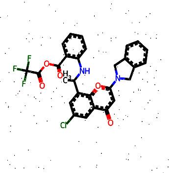 CC(Nc1ccccc1C(=O)OC(=O)C(F)(F)F)c1cc(Cl)cc2c(=O)cc(N3Cc4ccccc4C3)oc12